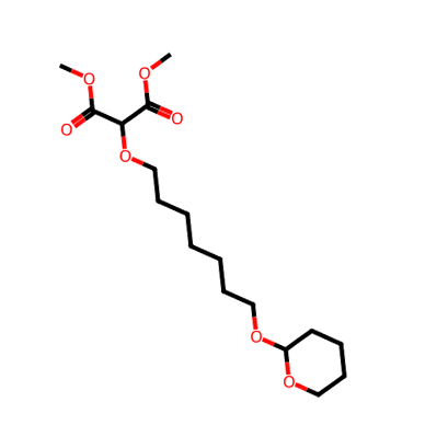 COC(=O)C(OCCCCCCCOC1CCCCO1)C(=O)OC